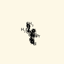 C=C(CN1CCN(C)CC1)C(=O)NC[C@@H](NC(=O)[C@H](Cc1nc2ccc(Cl)cc2s1)NC(=O)CCC)C1CCCCC1